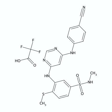 CNS(=O)(=O)c1ccc(SC)c(Nc2cc(Nc3ccc(C#N)cc3)ncn2)c1.O=C(O)C(F)(F)F